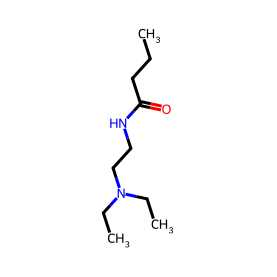 CCCC(=O)NCCN(CC)CC